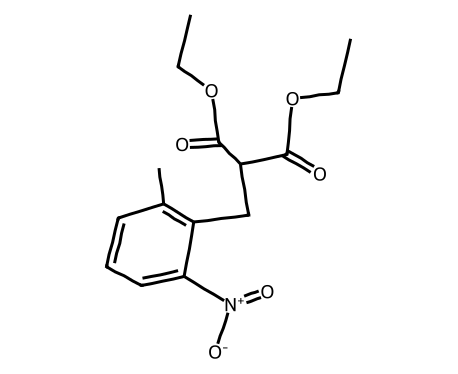 CCOC(=O)C(Cc1c(C)cccc1[N+](=O)[O-])C(=O)OCC